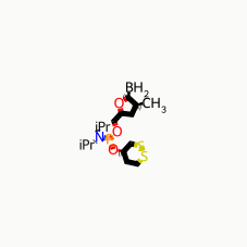 B[C@@H]1OC(COP(O[C@@H]2CCSSC2)N(C(C)C)C(C)C)C[C@@H]1C